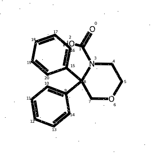 O=C(O)N1CCOCC1(c1ccccc1)c1ccccc1